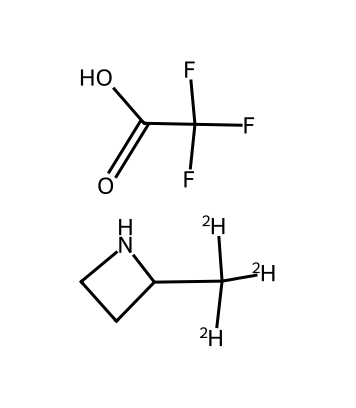 O=C(O)C(F)(F)F.[2H]C([2H])([2H])C1CCN1